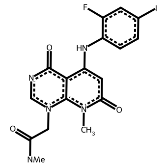 CNC(=O)Cn1cnc(=O)c2c(Nc3ccc(I)cc3F)cc(=O)n(C)c21